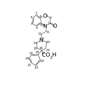 O=C1COc2ccccc2N1CCN1CCC(C(=O)O)(c2ccccc2)CC1